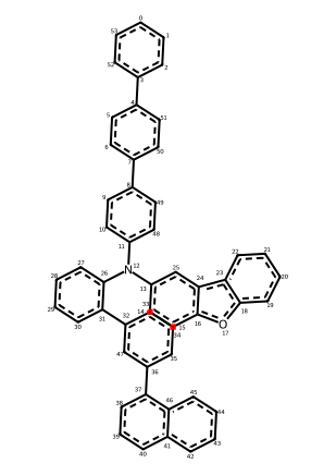 c1ccc(-c2ccc(-c3ccc(N(c4ccc5oc6ccccc6c5c4)c4ccccc4-c4cccc(-c5cccc6ccccc56)c4)cc3)cc2)cc1